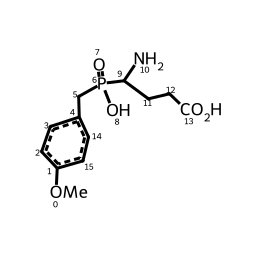 COc1ccc(CP(=O)(O)C(N)CCC(=O)O)cc1